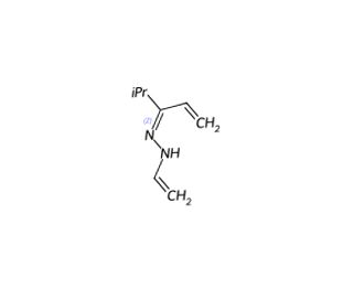 C=CN/N=C(\C=C)C(C)C